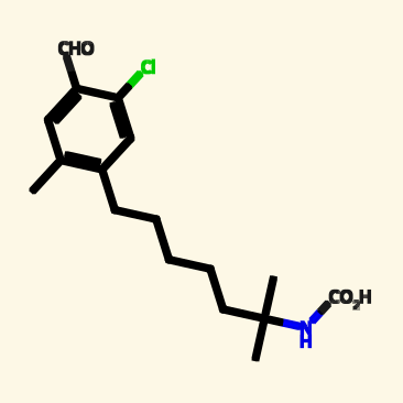 Cc1cc(C=O)c(Cl)cc1CCCCCC(C)(C)NC(=O)O